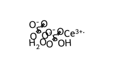 O.O=S(=O)([O-])O.O=S(=O)([O-])[O-].[Ce+3]